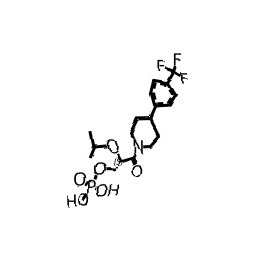 CC(C)O[C@@H](COP(=O)(O)O)C(=O)N1CCC(c2ccc(C(F)(F)F)cc2)CC1